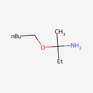 CCCCCOC(C)(N)CC